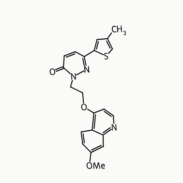 COc1ccc2c(OCCn3nc(-c4cc(C)cs4)ccc3=O)ccnc2c1